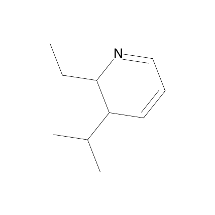 CCC1N=CC=CC1C(C)C